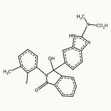 Cc1cccc(N2C(=O)c3ccccc3C2(O)c2ccc3nc(N(C)C(=O)O)[nH]c3c2)c1F